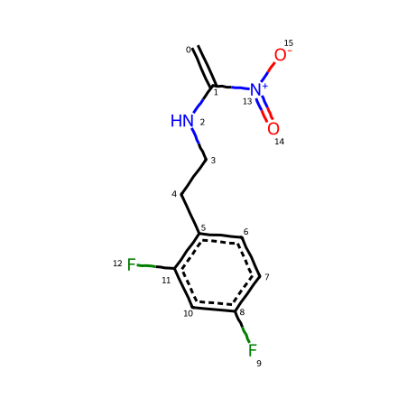 C=C(NCCc1ccc(F)cc1F)[N+](=O)[O-]